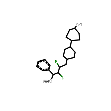 CCCC1CCC(C2CCC(CC(F)C(F)C(OC)c3ccccc3)CC2)CC1